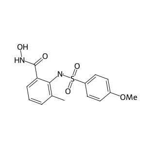 COc1ccc(S(=O)(=O)[N]c2c(C)cccc2C(=O)NO)cc1